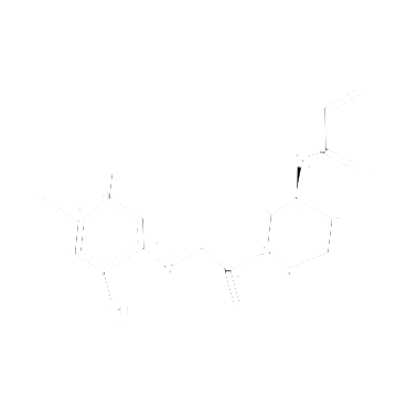 C=CC(=O)N[C@H]1CCCN(C(=O)CNc2cc(Cl)c(Cl)cc2O)C1